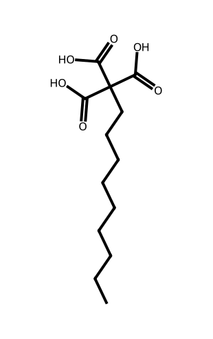 CCCCCCCCCC(C(=O)O)(C(=O)O)C(=O)O